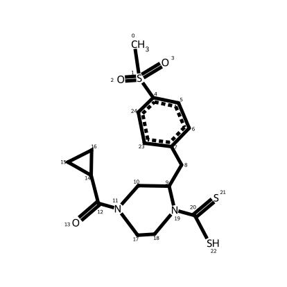 CS(=O)(=O)c1ccc(CC2CN(C(=O)C3CC3)CCN2C(=S)S)cc1